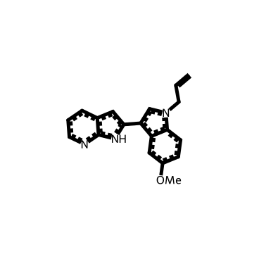 C=CCn1cc(-c2cc3cccnc3[nH]2)c2cc(OC)ccc21